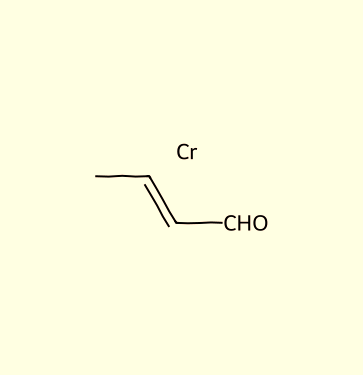 CC=CC=O.[Cr]